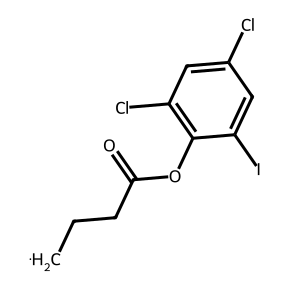 [CH2]CCC(=O)Oc1c(Cl)cc(Cl)cc1I